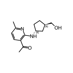 CC(=O)c1ccc(C)nc1N[C@@H]1CC[C@@H](CO)C1